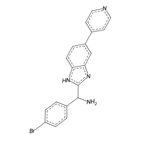 NC(c1ccc(Br)cc1)c1nc2cc(-c3ccncc3)ccc2[nH]1